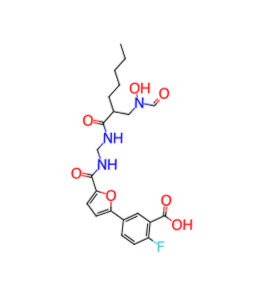 CCCCCC(CN(O)C=O)C(=O)NCNC(=O)c1ccc(-c2ccc(F)c(C(=O)O)c2)o1